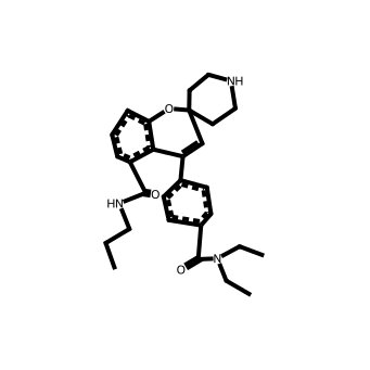 CCCNC(=O)c1cccc2c1C(c1ccc(C(=O)N(CC)CC)cc1)=CC1(CCNCC1)O2